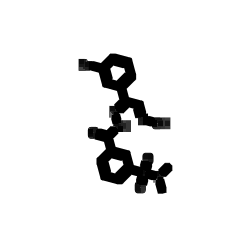 CN(C)S(=O)(=O)c1cccc(C(=O)NN=C(C=NO)c2cccc(Br)c2)c1